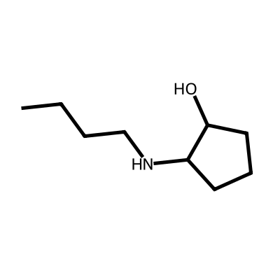 CCCCNC1CCCC1O